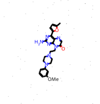 COc1cccc(N2CCN(CCn3c(=O)cnc4c(-c5ccc(C)o5)nc(N)nc43)CC2)c1